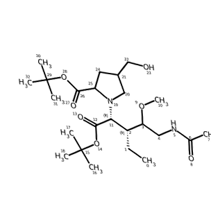 CC[C@@H](C(CNC(C)=O)OC)[C@H](C(=O)OC(C)(C)C)N1CC(CO)CC1C(=O)OC(C)(C)C